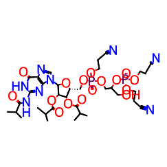 CC(C)C(=O)Nc1nc2c(ncn2C2O[C@H](COP(=O)(OCCC#N)OCC(CO)OP(=O)(OCCC#N)OCCC#N)[C@@H](OC(=O)C(C)C)[C@H]2OC(=O)C(C)C)c(=O)[nH]1